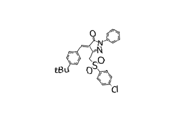 CC(C)(C)c1ccc(/C=C2/C(=O)N(c3ccccc3)N=C2CS(=O)(=O)c2ccc(Cl)cc2)cc1